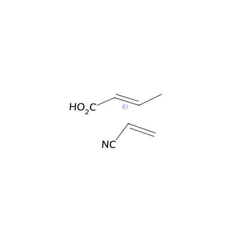 C/C=C/C(=O)O.C=CC#N